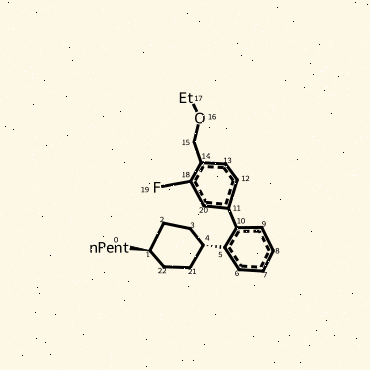 CCCCC[C@H]1CC[C@H](c2ccccc2-c2ccc(COCC)c(F)c2)CC1